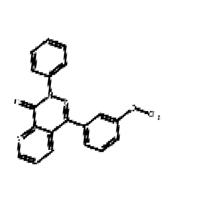 COc1cccc(-c2nn(-c3ccccc3)c(=O)c3ncccc23)c1